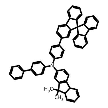 CC1(C)c2cc(N(c3ccc(-c4ccccc4)cc3)c3ccc(-c4ccc5c(c4)C4(c6ccccc6-c6ccccc64)c4ccccc4-5)cc3)ccc2C2C=CC=CC21